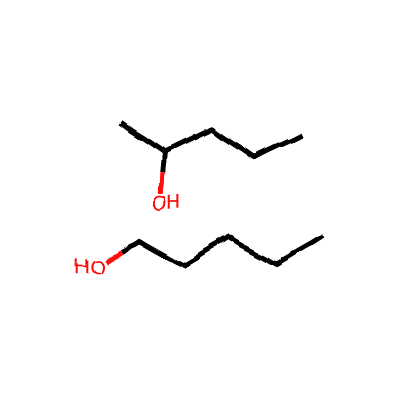 CCCC(C)O.CCCCCO